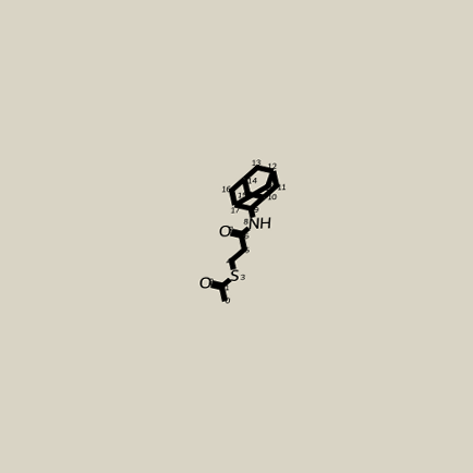 CC(=O)SCCC(=O)NC1C2CC3CC(C2)CC1C3